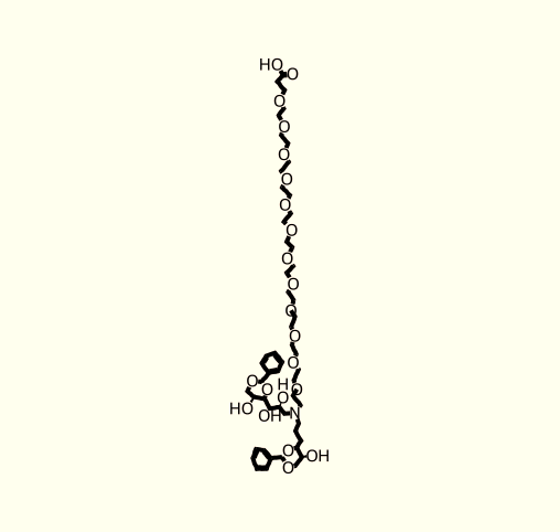 O=C(O)CCOCCOCCOCCOCCOCCOCCOCCOCCOCCOCCOCCOCCN(CCCC1OC(c2ccccc2)OC[C@@H]1O)C[C@@H](O)[C@H](O)C1OC(c2ccccc2)OC[C@@H]1O